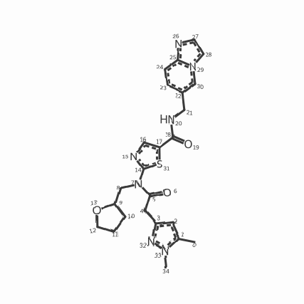 Cc1cc(CC(=O)N(CC2CCCO2)c2ncc(C(=O)NCc3ccc4nccn4c3)s2)nn1C